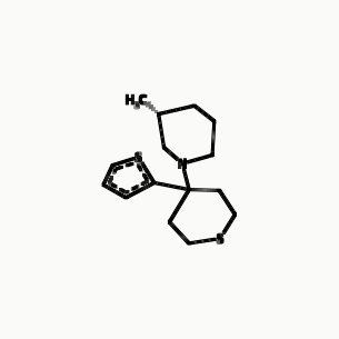 C[C@@H]1CCCN(C2(c3cccs3)CCSCC2)C1